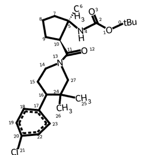 CC(C)(C)OC(=O)N[C@]1(C)CCC[C@@H]1C(=O)N1CCC(c2ccc(Cl)cc2)C(C)(C)C1